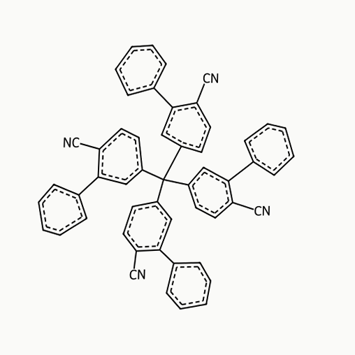 N#Cc1ccc(C(c2ccc(C#N)c(-c3ccccc3)c2)(c2ccc(C#N)c(-c3ccccc3)c2)c2ccc(C#N)c(-c3ccccc3)c2)cc1-c1ccccc1